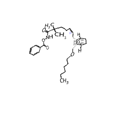 CCCCCCOC[C@@H]1[C@H](C/C=C\CCC(C)(C)C(=O)NOC(=O)c2ccccc2)[C@@H]2CC[C@H]1O2